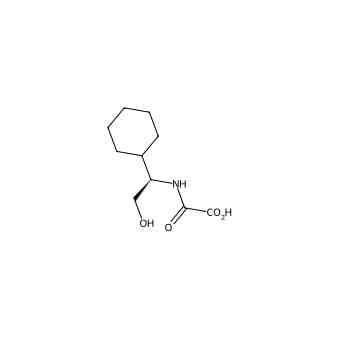 O=C(O)C(=O)N[C@@H](CO)C1CCCCC1